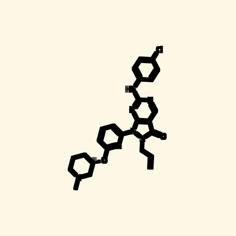 C=CCn1c(=O)c2cnc(Nc3ccc(Cl)cc3)nc2n1-c1cccc(O[C@H]2CCCN(C)C2)n1